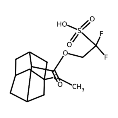 COC12CC3CC(C1)C(C(=O)OCC(F)(F)S(=O)(=O)O)C(C3)C2